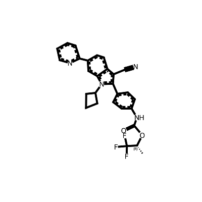 C[C@@H](OC(=O)Nc1ccc(-c2c(C#N)c3ccc(-c4ccccn4)cc3n2C2CCC2)cc1)C(F)(F)F